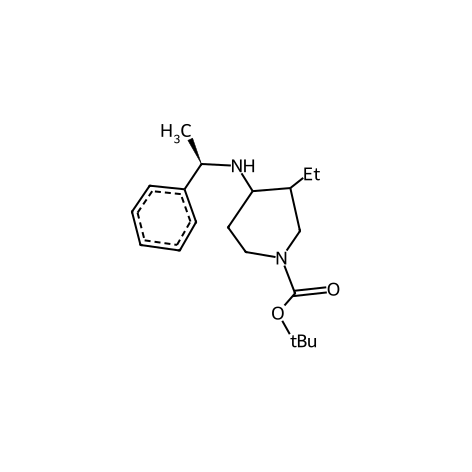 CCC1CN(C(=O)OC(C)(C)C)CCC1N[C@H](C)c1ccccc1